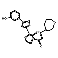 O=c1cc(N2CCCOCC2)[nH]c2c(-c3cn(-c4cccc(O)c4)nn3)cccc12